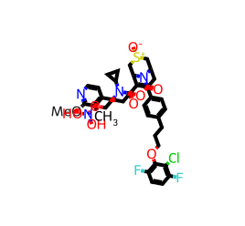 COc1nccc(CN(C(=O)C2=C(c3ccc(CCCOc4c(F)ccc(F)c4Cl)cc3)CC3C[S+]([O-])CC2N3C(=O)OCCCCON(O)O)C2CC2)c1C